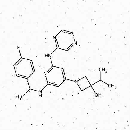 CC(Nc1cc(N2CC(O)(C(C)C)C2)cc(Nc2cnccn2)n1)c1ccc(F)cc1